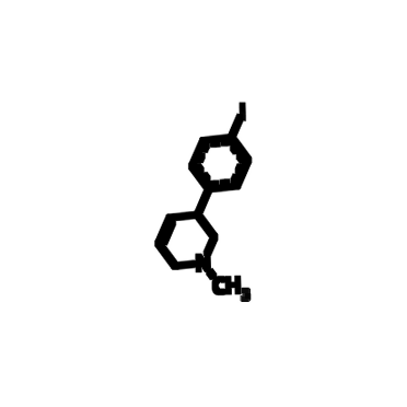 CN1CC=CC(c2ccc(I)cc2)C1